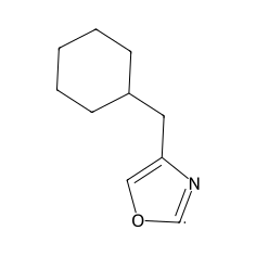 [c]1nc(CC2CCCCC2)co1